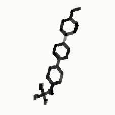 CCC1CCC([C@H]2CC=C(C3CCC(OC(F)(F)F)CC3)CC2)CC1